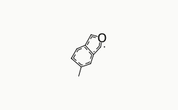 Cc1ccc2co[c]c2c1